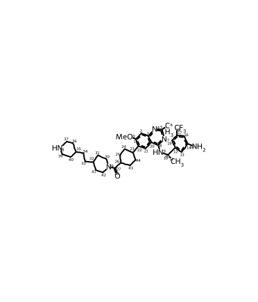 COc1cc2nc(C)nc(N[C@H](C)c3cc(N)cc(C(F)(F)F)c3)c2cc1C1CCC(C(=O)N2CCC(CCC3CCNCC3)CC2)CC1